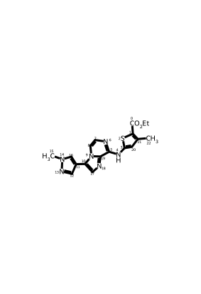 CCOC(=O)c1sc(Nc2nccn3c(-c4cnn(C)c4)cnc23)cc1C